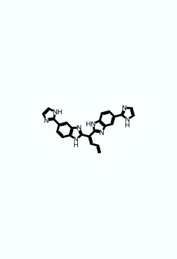 C=CC=C(c1nc2cc(-c3ncc[nH]3)ccc2[nH]1)c1nc2cc(-c3ncc[nH]3)ccc2[nH]1